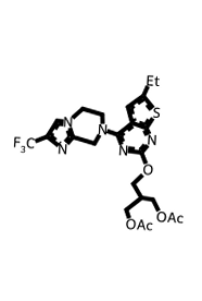 CCc1cc2c(N3CCn4cc(C(F)(F)F)nc4C3)nc(OCC(COC(C)=O)COC(C)=O)nc2s1